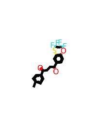 Cc1ccc(C(=O)CCC(=O)c2ccc3c(c2)SC(F)(F)C(F)(F)O3)cc1